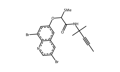 CC#CC(C)(C)NC(=O)C(Oc1cc(Br)c2ncc(Br)cc2c1)SC